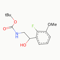 COc1cccc(C(O)CNC(=O)OC(C)(C)C)c1F